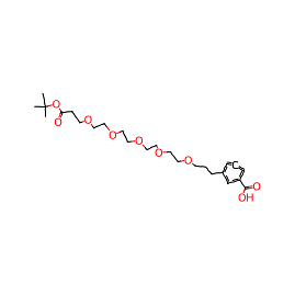 CC(C)(C)OC(=O)CCOCCOCCOCCOCCOCCCc1cccc(C(=O)O)c1